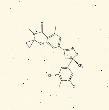 Cc1cc(C2=NO[C@@](c3cc(Cl)c(F)c(Cl)c3)(C(F)(F)F)C2)ccc1C(=O)N(C)C1(C#N)CC1